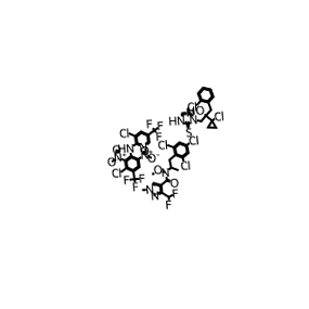 CON(C(=O)c1cn(C)nc1C(F)F)C(C)Cc1c(Cl)cc(Cl)cc1Cl.O=[N+]([O-])c1cc(C(F)(F)F)c(Cl)c([N+](=O)[O-])c1Nc1ncc(C(F)(F)F)cc1Cl.OC(Cc1ccccc1Cl)(Cn1nc[nH]c1=S)C1(Cl)CC1